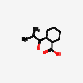 C=C(C)C(=O)[C@H]1CCCC[C@@H]1C(=O)O